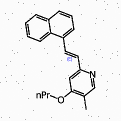 CCCOc1cc(/C=C/c2cccc3ccccc23)ncc1C